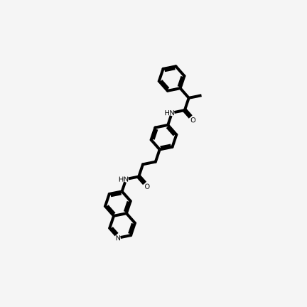 CC(C(=O)Nc1ccc(CCC(=O)Nc2ccc3cnccc3c2)cc1)c1ccccc1